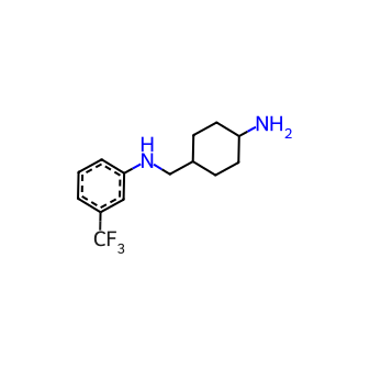 NC1CCC(CNc2cccc(C(F)(F)F)c2)CC1